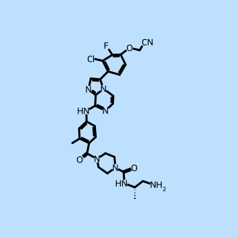 Cc1cc(Nc2nccn3c(-c4ccc(OCC#N)c(F)c4Cl)cnc23)ccc1C(=O)N1CCN(C(=O)N[C@@H](C)CN)CC1